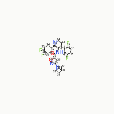 O=C(Nc1c(-c2cc(F)ccc2F)ccnc1C1CCC(F)(F)CC1)c1cc(N2CC3CC2C3)no1